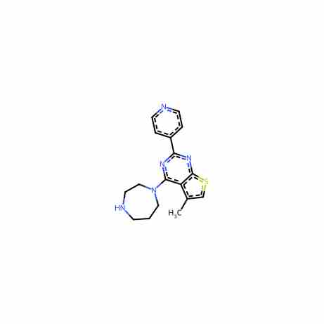 Cc1csc2nc(-c3ccncc3)nc(N3CCCNCC3)c12